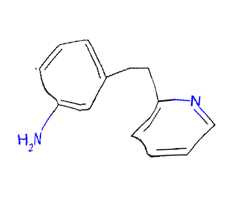 Nc1[c]ccc(Cc2ccccn2)c1